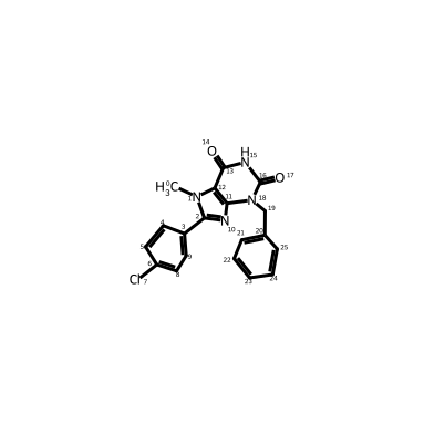 Cn1c(-c2ccc(Cl)cc2)nc2c1c(=O)[nH]c(=O)n2Cc1ccccc1